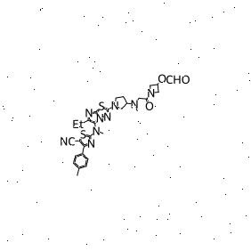 CCc1nc2sc(N3CCC(N(C)CC(=O)N4CC(OC=O)C4)C3)nn2c1N(C)c1nc(-c2ccc(C)cc2)c(C#N)s1